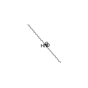 CCCCCCCCCCCCCCCCCCCCCC(=O)NC(=O)CCCCCCCCCCCCCCCCC